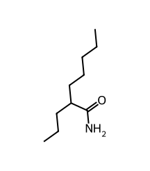 CCCCCC(CCC)C(N)=O